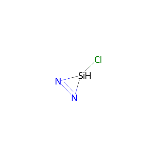 Cl[SiH]1N=N1